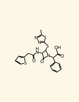 Cc1nnc(SC2C(NC(=O)Cc3cccs3)C(=O)N2C(C(=O)O)c2ccccc2)s1